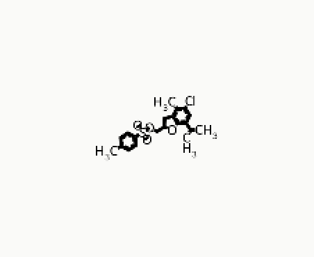 Cc1ccc(S(=O)(=O)OCC2Cc3c(C)c(Cl)cc(C(C)C)c3O2)cc1